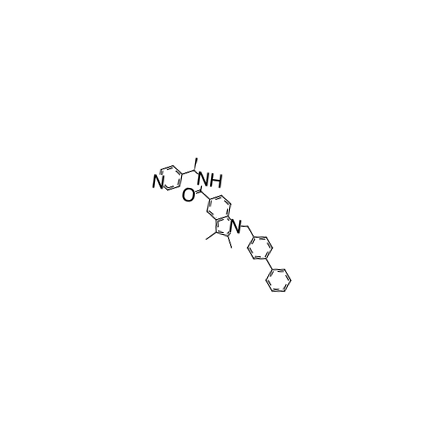 Cc1c(C)n(Cc2ccc(-c3ccccc3)cc2)c2ccc(C(=O)N[C@H](C)c3ccncc3)cc12